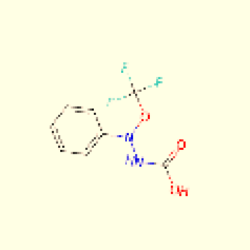 O=C(O)NN(OC(F)(F)F)c1ccccc1